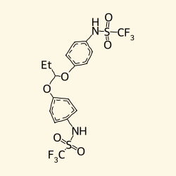 CCC(Oc1ccc(NS(=O)(=O)C(F)(F)F)cc1)Oc1ccc(NS(=O)(=O)C(F)(F)F)cc1